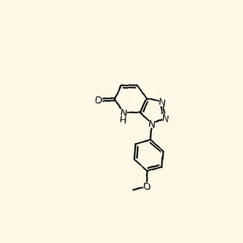 COc1ccc(-n2nnc3ccc(=O)[nH]c32)cc1